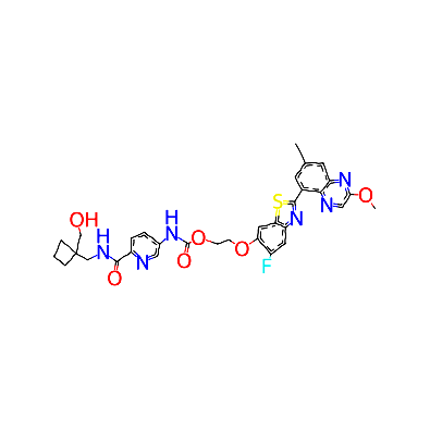 COc1cnc2c(-c3nc4cc(F)c(OCCOC(=O)Nc5ccc(C(=O)NCC6(CO)CCC6)nc5)cc4s3)cc(C)cc2n1